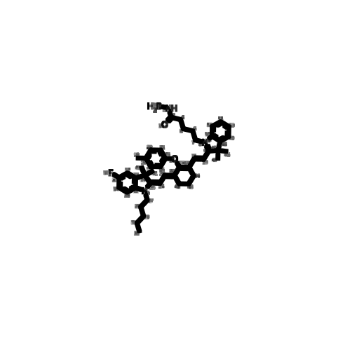 BNC(=O)CCCC[N+]1=C(/C=C/C2=C(Oc3ccc(C)cc3)C(=C/C=C3/N(CCCCC)c4ccc(F)cc4C3(C)C)/CCC2)C(C)(C)c2ccccc21